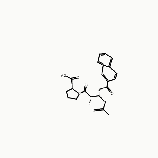 CC(=O)S[C@@H](CC(=O)c1ccc2ccccc2c1)[C@H](C)C(=O)N1CCC[C@H]1C(=O)O